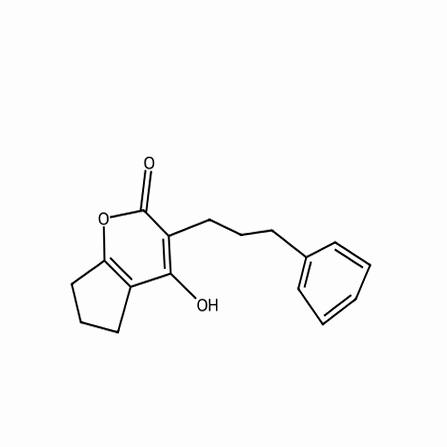 O=c1oc2c(c(O)c1CCCc1ccccc1)CCC2